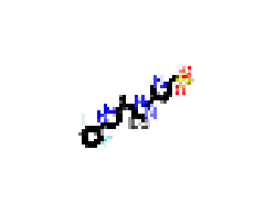 CC[C@H](C)c1cc(-c2c(F)cccc2F)nnc1C(C)c1ccnc(-c2ccc(CS(C)(=O)=O)nc2)n1